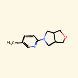 Cc1ccc(N2CC3COCC3C2)nc1